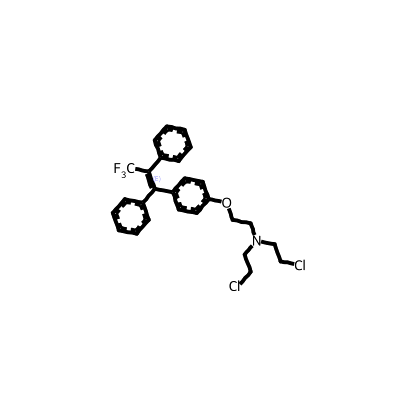 FC(F)(F)/C(=C(\c1ccccc1)c1ccc(OCCN(CCCl)CCCl)cc1)c1ccccc1